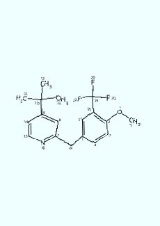 COc1ccc(Cc2cc(C(C)(C)C)ccn2)cc1C(F)(F)F